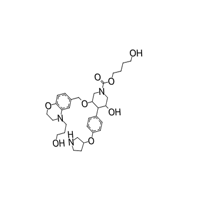 O=C(OCCCCO)N1CC(O)C(c2ccc(OC3CCNC3)cc2)C(OCc2ccc3c(c2)N(CCCO)CCO3)C1